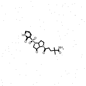 CC(C)(C[CH]C(=O)N1CCC2C1C(=O)CN2S(=O)(=O)c1ccc[nH]c1=O)C(N)=O